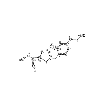 [C-]#[N+]COc1ccc(C[C@@H]2CN(C(=O)OC(C)(C)C)C[C@@H]2C(=O)OCC)cc1